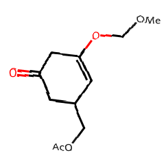 COCOC1=CC(COC(C)=O)CC(=O)C1